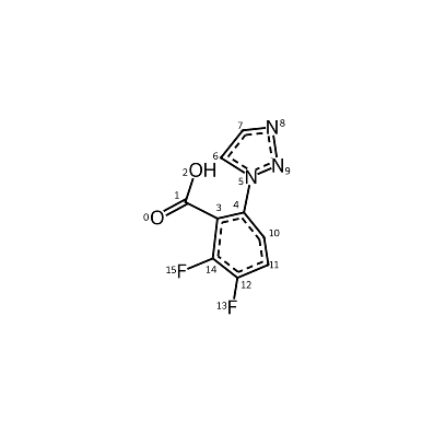 O=C(O)c1c(-n2ccnn2)ccc(F)c1F